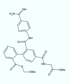 COCOC(=O)c1ccccc1-c1ccc(C(=O)NCC(=O)OC)cc1C(=O)Nc1ccc(C(=N)N)cc1